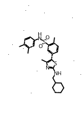 Cc1ccc(NS(=O)(=O)c2cc(-c3sc(NCC4CCCCC4)nc3C)ccc2C)cc1C